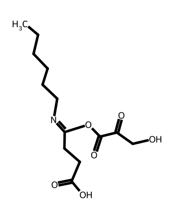 CCCCCCN=C(CCC(=O)O)OC(=O)C(=O)CO